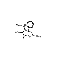 CCCCC1N(C)C(=O)C(CCSC)(c2ccccn2)N1C(=O)NC